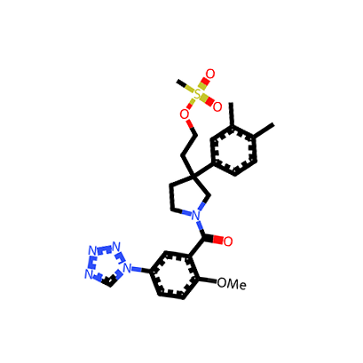 COc1ccc(-n2cnnn2)cc1C(=O)N1CCC(CCOS(C)(=O)=O)(c2ccc(C)c(C)c2)C1